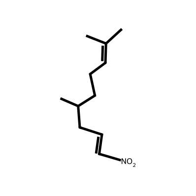 CC(C)=CCCC(C)CC=C[N+](=O)[O-]